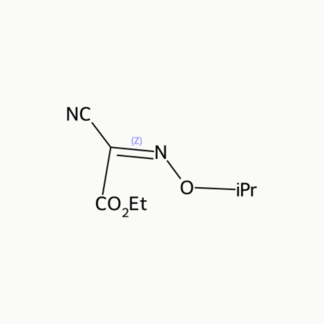 CCOC(=O)/C(C#N)=N\OC(C)C